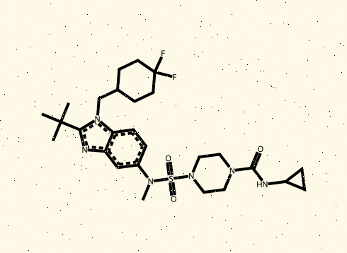 CN(c1ccc2c(c1)nc(C(C)(C)C)n2CC1CCC(F)(F)CC1)S(=O)(=O)N1CCN(C(=O)NC2CC2)CC1